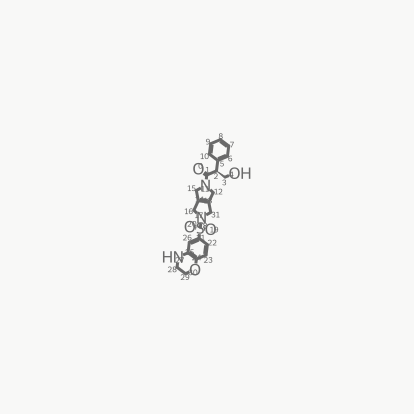 O=C([C@H](CO)c1ccccc1)N1CC2=C(C1)CN(S(=O)(=O)c1ccc3c(c1)NCCO3)C2